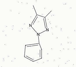 Cc1nn(-c2ccccc2)nc1C